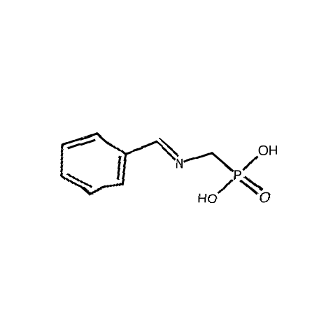 O=P(O)(O)CN=Cc1ccccc1